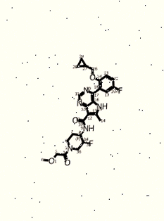 COCC(=O)N1CC[C@@H](NC(=O)c2c(C)[nH]c3c(-c4cc(F)ccc4OCC4CC4)ncnc23)[C@@H](F)C1